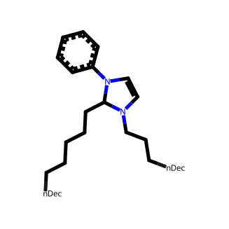 CCCCCCCCCCCCCCCC1N(CCCCCCCCCCCCC)C=CN1c1ccccc1